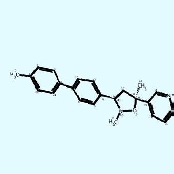 Cc1ccc(-c2ccc([C@H]3C[C@@](C)(c4cccnc4)ON3C)cc2)cc1